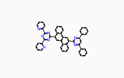 c1ccc(-c2cc(-c3ccccc3)nc(-c3cc4c5ccccc5c(-c5nc(-c6ccccn6)nc(-c6ccccn6)n5)cc4c4ccccc34)n2)cc1